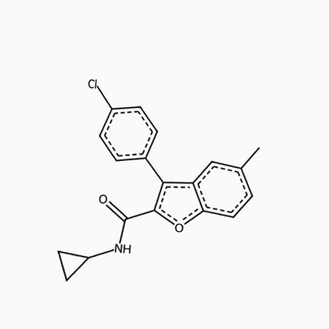 Cc1ccc2oc(C(=O)NC3CC3)c(-c3ccc(Cl)cc3)c2c1